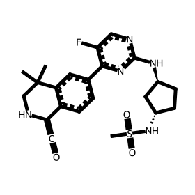 CC1(C)CNC(=C=O)c2ccc(-c3nc(N[C@H]4CC[C@H](NS(C)(=O)=O)C4)ncc3F)cc21